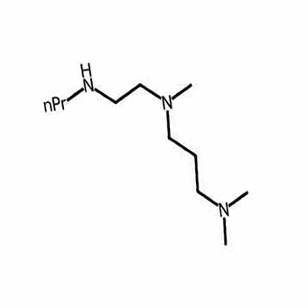 CCCNCCN(C)CCCN(C)C